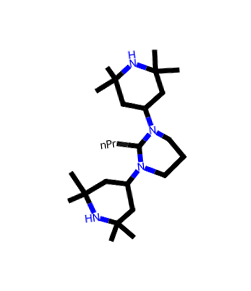 CCCC1N(C2CC(C)(C)NC(C)(C)C2)CCCN1C1CC(C)(C)NC(C)(C)C1